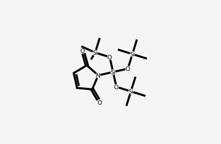 C[Si](C)(C)O[Si](O[Si](C)(C)C)(O[Si](C)(C)C)N1C(=O)C=CC1=O